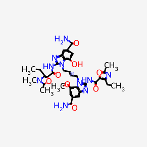 CCC1=C(C(=O)Nc2nc3cc(C(N)=O)cc(O)c3n2C/C=C/Cn2c(NC(=O)c3oc(C)nc3CC)nc3cc(C(N)=O)cc(OC)c32)OC(C)N1C